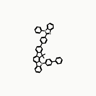 CC1(C)c2cc(-c3ccc(-c4nc5ccccc5n4-c4ccccc4)cc3)ccc2-c2ccc3c4ccccc4n(-c4ccc(-c5ccccc5)cc4)c3c21